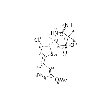 COc1cncc(C2=CC(Cl)C([C@]3(C)CS(=O)(=O)C(C)(C)C(=N)N3)S2)c1